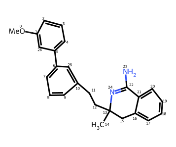 COc1cccc(-c2cccc(CCC3(C)Cc4ccccc4C(N)=N3)c2)c1